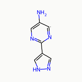 Nc1[c]nc(-c2cn[nH]c2)nc1